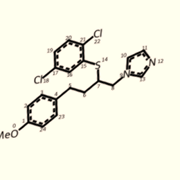 COc1ccc(CCC(Cn2ccnc2)Sc2cc(Cl)ccc2Cl)cc1